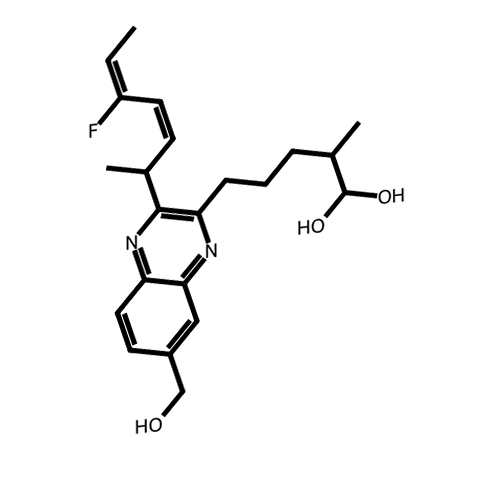 C/C=C(F)\C=C/C(C)c1nc2ccc(CO)cc2nc1CCCC(C)C(O)O